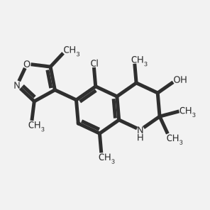 Cc1cc(-c2c(C)noc2C)c(Cl)c2c1NC(C)(C)C(O)C2C